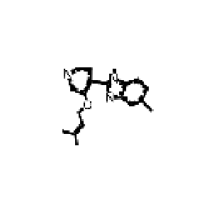 CC(C)=CCOc1cnccc1-c1nc2cc(C)ccc2n1C